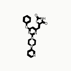 O=C1NC(=O)/C(=C/c2cc(Oc3ccccc3)nc(N3CCN(c4cccnc4)CC3)n2)S1